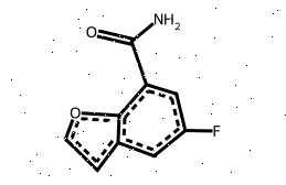 NC(=O)c1cc(F)cc2ccoc12